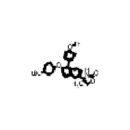 CCOc1ccc(-c2c(OC3CCC(C(C)(C)C)CC3)ccc3cc([C@]4(C)COC(=O)N4)ccc23)cc1